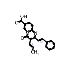 C/C=C/c1c(/C=C/c2ccccc2)nc2ccc(C(=O)O)cn2c1=O